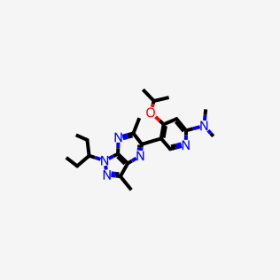 CCC(CC)n1nc(C)c2nc(-c3cnc(N(C)C)cc3OC(C)C)c(C)nc21